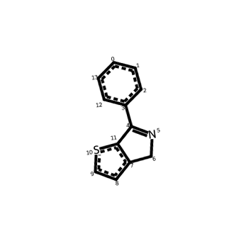 c1ccc(C2=NCc3ccsc32)cc1